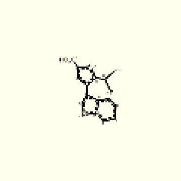 O=C(O)c1cc(-c2cnn3ccccc23)c(C(F)F)s1